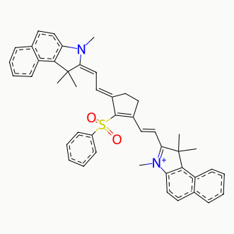 CN1/C(=C/C=C2\CCC(/C=C/C3=[N+](C)c4ccc5ccccc5c4C3(C)C)=C2S(=O)(=O)c2ccccc2)C(C)(C)c2c1ccc1ccccc21